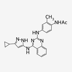 CC(=O)Nc1ccc(Nc2nc(Nc3cc(C4CC4)n[nH]3)c3ccccc3n2)cc1C